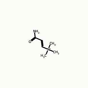 C[N+](C)(C)C=CC(N)=O